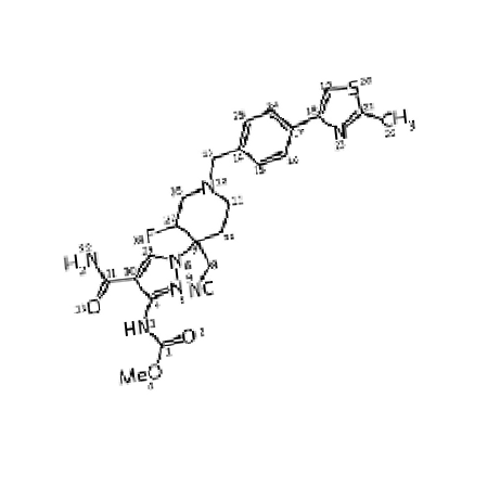 COC(=O)Nc1nn(C2(CC#N)CCN(Cc3ccc(-c4csc(C)n4)cc3)CC2F)cc1C(N)=O